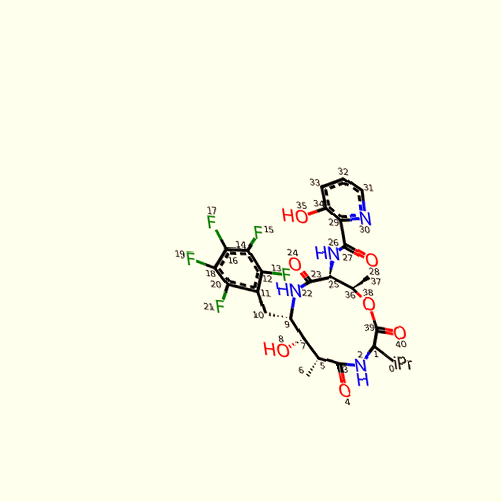 CC(C)C1NC(=O)[C@H](C)[C@H](O)[C@H](Cc2c(F)c(F)c(F)c(F)c2F)NC(=O)[C@@H](NC(=O)c2ncccc2O)[C@@H](C)OC1=O